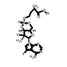 CC(C)OC(=O)[C@@H](C)CCO[P@@]1(=O)OC[C@H]2O[C@@H](n3cc(F)c4c(N)ncnc43)[C@](C)(Cl)[C@@H]2O1